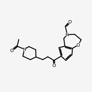 CC(=O)N1CCC(CCC(=O)c2ccc3c(c2)CN(C=O)CCO3)CC1